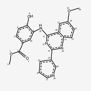 COC(=O)c1ccc(O)c(Nc2nc(-c3cccnc3)nc3ccc(OC)cc23)c1